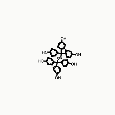 Oc1ccc(C(SSC(c2ccc(O)cc2)(c2ccc(O)cc2)c2ccc(O)cc2)(c2ccc(O)cc2)c2ccc(O)cc2)cc1